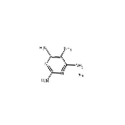 Nc1nc(N)c(N)c(N)n1.[Zn]